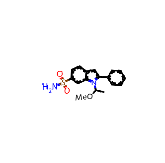 COC(C)n1c(-c2ccccc2)cc2ccc(S(N)(=O)=O)cc21